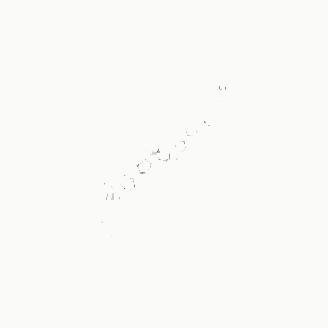 C=C(NCC(CC)CCCC)c1ccc(-c2cc3c(s2)-c2cc4c(cc2[SiH]3C)-c2sc(-c3ccc(C(C)NCC(CC)CCCC)s3)cc2[SiH]4C)s1